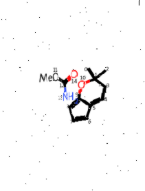 CC1(C)CC=C2C=CC=C2O1.COC(N)=O